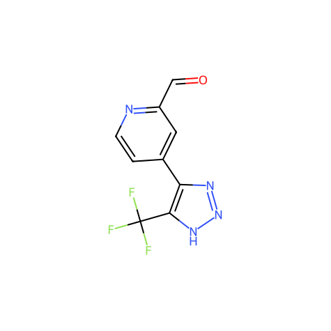 O=Cc1cc(-c2nn[nH]c2C(F)(F)F)ccn1